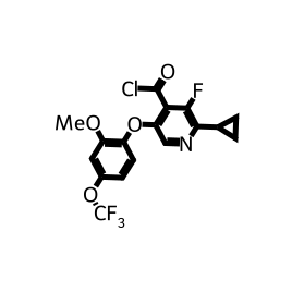 COc1cc(OC(F)(F)F)ccc1Oc1cnc(C2CC2)c(F)c1C(=O)Cl